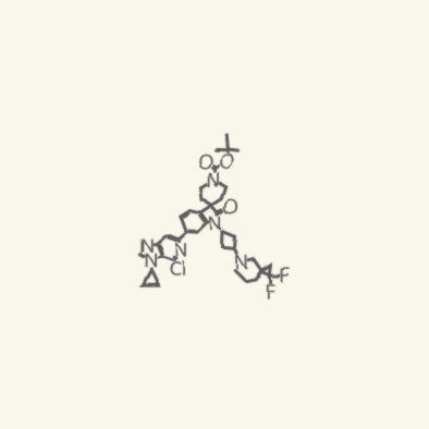 CC(C)(C)OC(=O)N1CCC2(CC1)C(=O)N(C1CC(N3CCCC4(C3)CC4(F)F)C1)c1cc(-c3cc4ncn(C5CC5)c4c(Cl)n3)ccc12